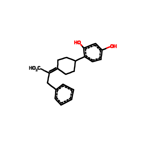 O=C(O)C(Cc1ccccc1)=C1CCC(c2ccc(O)cc2O)CC1